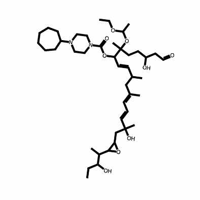 CCOC(C)OC(C)(CCC(O)CC=O)C(/C=C/C(C)C/C(C)=C/C=C/C(C)(O)CC1OC1C(C)C(O)CC)OC(=O)N1CCN(C2CCCCCC2)CC1